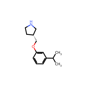 CC(C)c1cccc(OC[C@@H]2CCNC2)c1